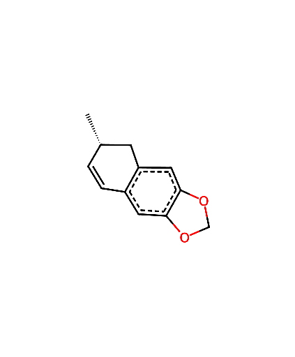 C[C@H]1C=Cc2cc3c(cc2C1)OCO3